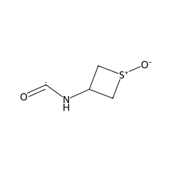 O=[C]NC1C[S+]([O-])C1